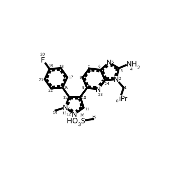 CC(C)Cn1c(N)nc2ccc(-c3cnn(C)c3-c3ccc(F)cc3)nc21.CS(=O)(=O)O